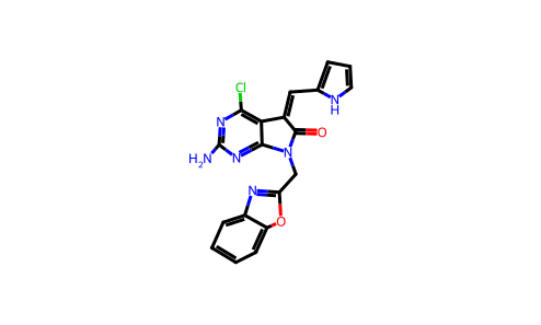 Nc1nc(Cl)c2c(n1)N(Cc1nc3ccccc3o1)C(=O)/C2=C\c1ccc[nH]1